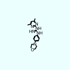 Cc1cc(C)nc(NC(=N)Nc2ccc(N3CCOCC3)cc2)n1